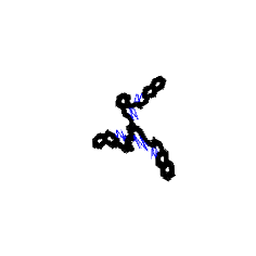 c1ccc2cc3nc(-c4cc(-c5cc6ccccc6c(-c6ccc7cc8ccccc8cc7n6)n5)cc(-c5ccc6cc7ccccc7cc6n5)n4)ccc3cc2c1